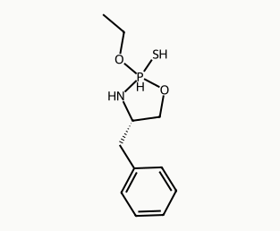 CCO[PH]1(S)N[C@@H](Cc2ccccc2)CO1